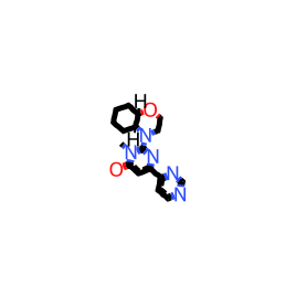 Cn1c(N2CCO[C@H]3CCCC[C@@H]32)nc(-c2ccncn2)cc1=O